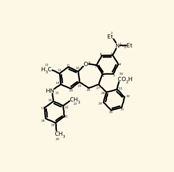 CCN(CC)c1ccc2c(c1)Oc1cc(C)c(Nc3ccc(C)cc3C)cc1CC2c1ccccc1C(=O)O